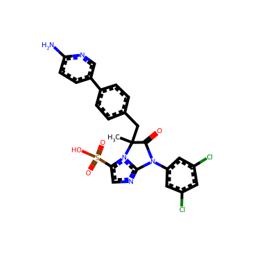 CC1(Cc2ccc(-c3ccc(N)nc3)cc2)C(=O)N(c2cc(Cl)cc(Cl)c2)c2ncc(S(=O)(=O)O)n21